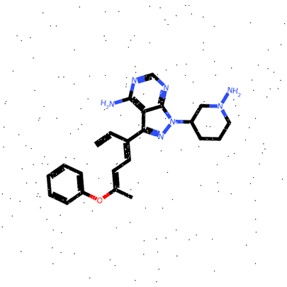 C=C/C(=C\C=C(/C)Oc1ccccc1)c1nn(C2CCCN(N)C2)c2ncnc(N)c12